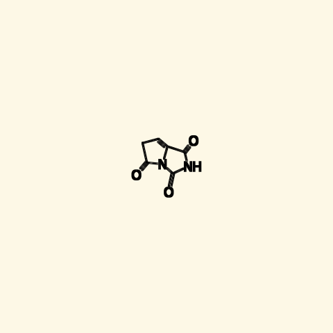 O=C1NC(=O)N2C(=O)CC=C12